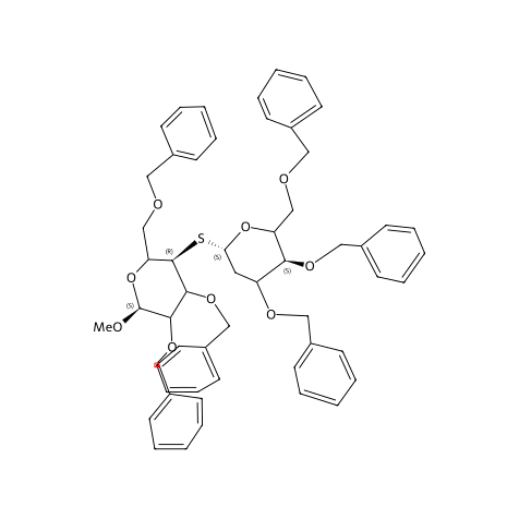 CO[C@H]1OC(COCc2ccccc2)[C@@H](S[C@H]2CC(OCc3ccccc3)[C@H](OCc3ccccc3)C(COCc3ccccc3)O2)C(OCc2ccccc2)C1OCc1ccccc1